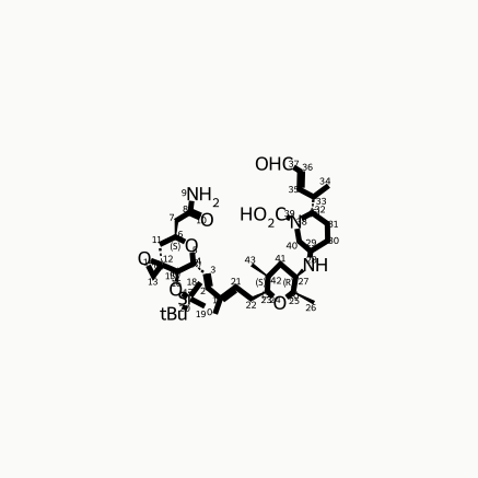 CC(C=C[C@H]1O[C@H](CC(N)=O)C[C@@]2(CO2)[C@@H]1O[Si](C)(C)C(C)(C)C)=CC[C@@H]1O[C@H](C)[C@H](NC2CC[C@@H](C(C)C=CC=O)N(C(=O)O)C2)C[C@@H]1C